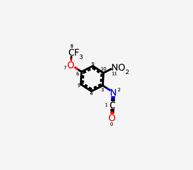 O=C=Nc1ccc(OC(F)(F)F)cc1[N+](=O)[O-]